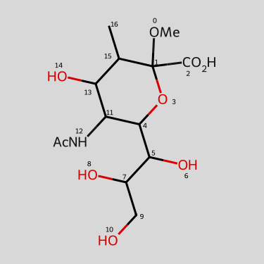 COC1(C(=O)O)OC(C(O)C(O)CO)C(NC(C)=O)C(O)C1C